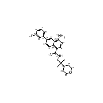 CC(C)(CNC(=O)c1cnc(N)c2cc(-c3cccc(F)c3)ccc12)N1CCOCC1